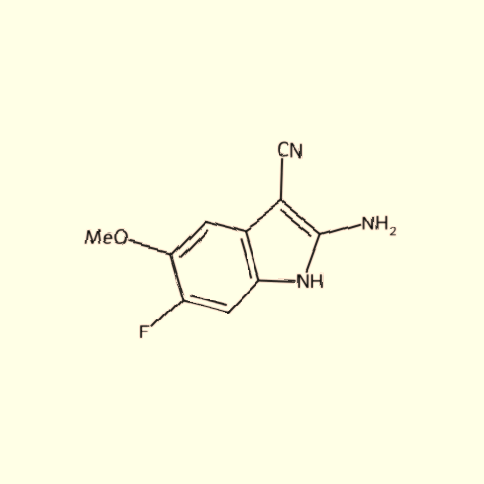 COc1cc2c(C#N)c(N)[nH]c2cc1F